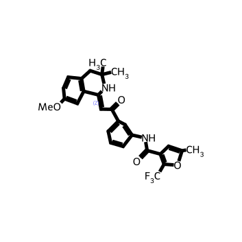 COc1ccc2c(c1)/C(=C/C(=O)c1cccc(NC(=O)c3cc(C)oc3C(F)(F)F)c1)NC(C)(C)C2